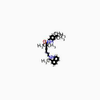 C[C@@H](NC/C=C/C#CC(C)(C)C(=O)NCc1ccc(C(C)(C)C)cc1)c1cccc2ccccc12